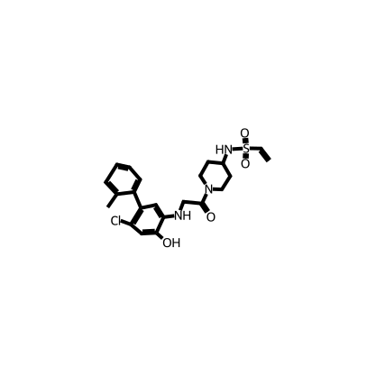 C=CS(=O)(=O)NC1CCN(C(=O)CNc2cc(-c3ccccc3C)c(Cl)cc2O)CC1